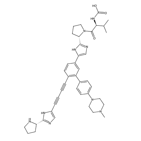 CC(C)[C@H](NC(=O)O)C(=O)N1CCC[C@H]1c1ncc(-c2ccc(C#CC#Cc3cnc([C@@H]4CCCN4)[nH]3)c(-c3ccc(N4CCN(C)CC4)cc3)c2)[nH]1